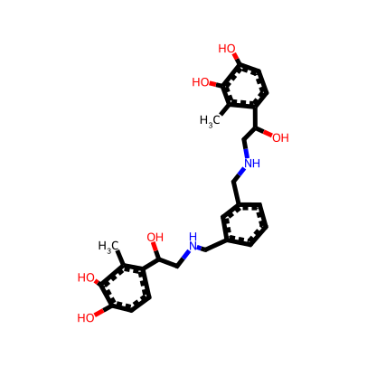 Cc1c(C(O)CNCc2cccc(CNCC(O)c3ccc(O)c(O)c3C)c2)ccc(O)c1O